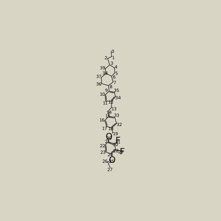 CCCC1CCC2CC(c3ccc(CCc4ccc(COc5ccc(OCC)c(F)c5F)cc4)cc3)CCC2C1